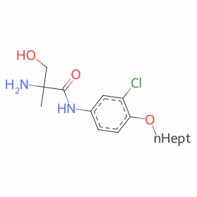 CCCCCCCOc1ccc(NC(=O)C(C)(N)CO)cc1Cl